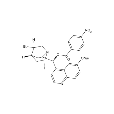 CC[C@H]1CN2CC[C@H]1C[C@@H]2[C@@H](OC(=O)c1ccc([N+](=O)[O-])cc1)c1ccnc2ccc(OC)cc12